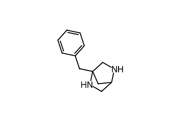 c1ccc(CC23CNC(CN2)C3)cc1